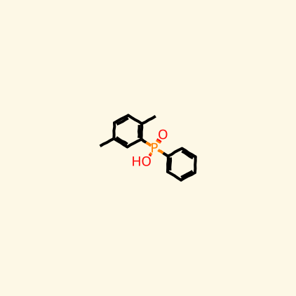 Cc1ccc(C)c(P(=O)(O)c2ccccc2)c1